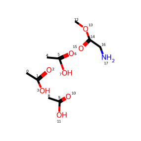 CC(=O)O.CC(=O)O.CC(=O)O.COC(=O)CN